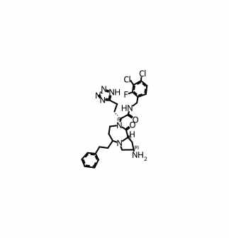 N[C@@H]1C[C@H]2C(=O)N([C@H](CCc3nnn[nH]3)C(=O)NCc3ccc(Cl)c(Cl)c3F)CCC(CCc3ccccc3)N2C1